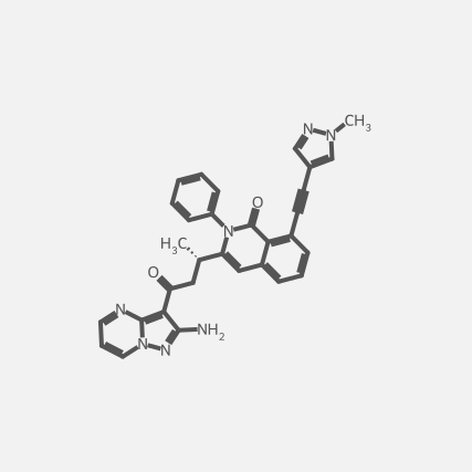 C[C@@H](CC(=O)c1c(N)nn2cccnc12)c1cc2cccc(C#Cc3cnn(C)c3)c2c(=O)n1-c1ccccc1